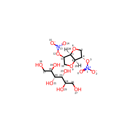 O=[N+]([O-])O[C@H]1CO[C@H]2[C@@H]1OC[C@H]2O[N+](=O)[O-].OC[C@@H](O)[C@@H](O)[C@H](O)[C@H](O)CO